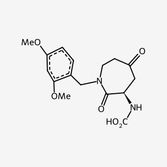 COc1ccc(CN2CCC(=O)C[C@@H](NC(=O)O)C2=O)c(OC)c1